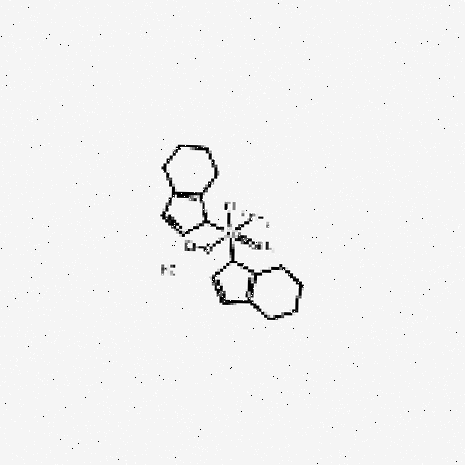 CC[O][Zr]([CH3])([CH3])(=[SiH2])([CH]1C=CC2=C1CCCC2)[CH]1C=CC2=C1CCCC2.Cl